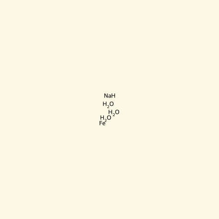 O.O.O.[Fe].[NaH]